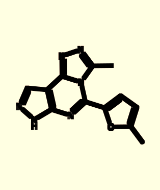 Cc1ccc(-c2nc3[nH]ncc3c3nnc(C)n23)o1